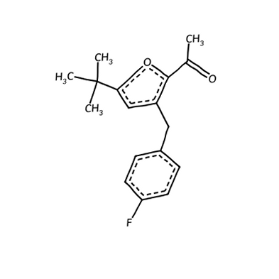 CC(=O)c1oc(C(C)(C)C)cc1Cc1ccc(F)cc1